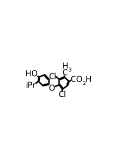 Cc1c(C(=O)O)cc(Cl)c(Oc2ccc(O)c(C(C)C)c2)c1Cl